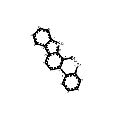 Brc1ccccc1-c1ccc2c(sc3ccccc32)c1Br